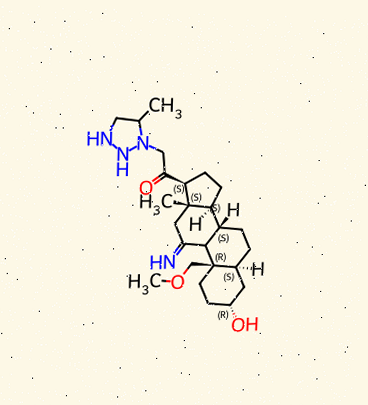 COC[C@]12CC[C@@H](O)C[C@@H]1CC[C@@H]1C2C(=N)C[C@]2(C)[C@@H](C(=O)CN3NNCC3C)CC[C@@H]12